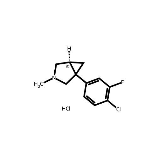 CN1C[C@H]2CC2(c2ccc(Cl)c(F)c2)C1.Cl